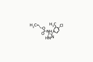 C=CCOC(=O)NC1CNN=C1c1ccc(Cl)c(C)c1